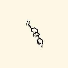 N#CC1CCc2cc(-c3ccncc3)nn2C1